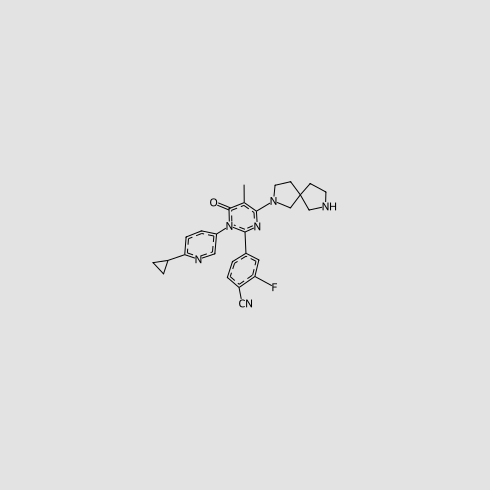 Cc1c(N2CCC3(CCNC3)C2)nc(-c2ccc(C#N)c(F)c2)n(-c2ccc(C3CC3)nc2)c1=O